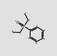 CCP(=O)(CC)c1ccccc1